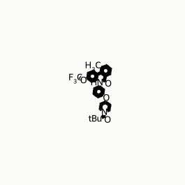 Cc1cccc(C(=O)Nc2cccc(OC3CCN(C(=O)C(C)(C)C)CC3)c2)c1-c1ccc(OC(F)(F)F)cc1